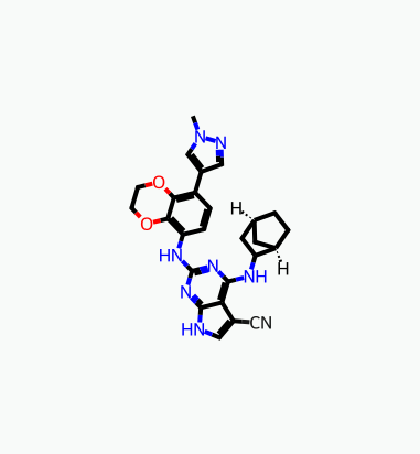 Cn1cc(-c2ccc(Nc3nc(NC4C[C@H]5CC[C@@H]4C5)c4c(C#N)c[nH]c4n3)c3c2OCCO3)cn1